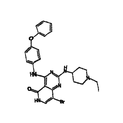 CCN1CCC(Nc2nc(Nc3ccc(Oc4ccccc4)cc3)c3c(=O)[nH]cc(Br)c3n2)CC1